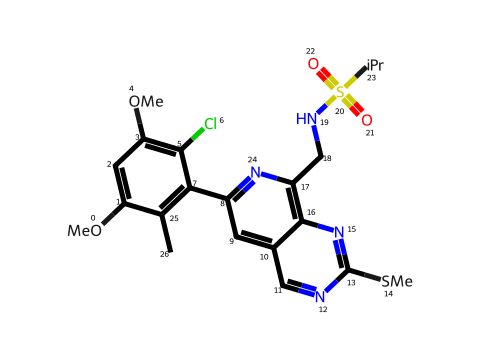 COc1cc(OC)c(Cl)c(-c2cc3cnc(SC)nc3c(CNS(=O)(=O)C(C)C)n2)c1C